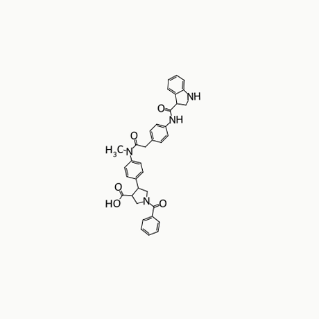 CN(C(=O)Cc1ccc(NC(=O)C2CNc3ccccc32)cc1)c1ccc(C2CN(C(=O)c3ccccc3)CC2C(=O)O)cc1